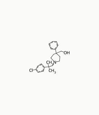 CC(C)(CN1CCC(CO)(c2ccccc2)CC1)c1ccc(Cl)cc1